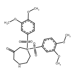 COc1ccc(S(=O)(=O)[N+]2(S(=O)(=O)c3ccc(OC)c(OC)c3)CCNCC(=O)C2)cc1OC